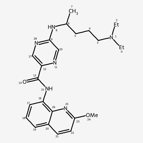 CCN(CC)CCCC(C)Nc1cnc(C(=O)Nc2cccc3ccc(OC)nc23)cn1